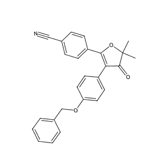 CC1(C)OC(c2ccc(C#N)cc2)=C(c2ccc(OCc3ccccc3)cc2)C1=O